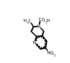 CC1Cc2ncc([N+](=O)[O-])cc2CN1C(=O)O